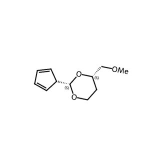 COC[C@@H]1CCO[C@H](C2C=CC=C2)O1